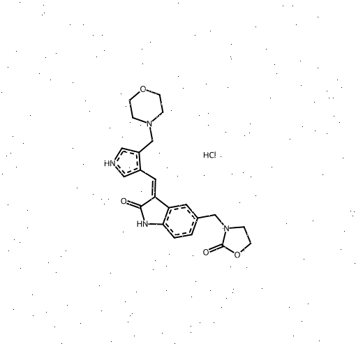 Cl.O=C1Nc2ccc(CN3CCOC3=O)cc2/C1=C/c1c[nH]cc1CN1CCOCC1